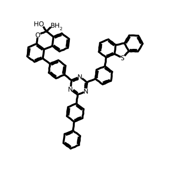 BC1(O)Oc2cccc(-c3ccc(-c4nc(-c5ccc(-c6ccccc6)cc5)nc(-c5cccc(-c6cccc7c6sc6ccccc67)c5)n4)cc3)c2-c2ccccc21